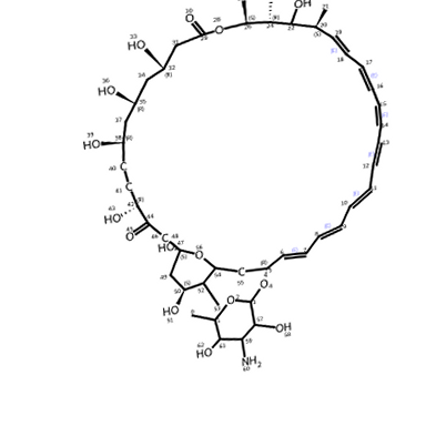 CC1OC(O[C@H]2/C=C/C=C/C=C/C=C/C=C/C=C/C=C/[C@H](C)C(O)[C@@H](C)[C@H](C)OC(=O)C[C@H](O)C[C@H](O)C[C@H](O)CC[C@@H](O)C(=O)C[C@]3(O)C[C@H](O)C(C)C(C2)O3)C(O)C(N)C1O